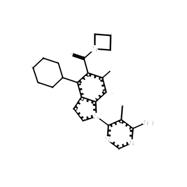 Cc1c(N)ncnc1-n1ccc2c(C3CCCCC3)c(C(=O)N3CCC3)c(Cl)cc21